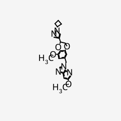 COc1cnc2c(c1)ncn2Cc1cc(OC)c2c(c1)OCC(c1cnn(C3CCC3)c1)O2